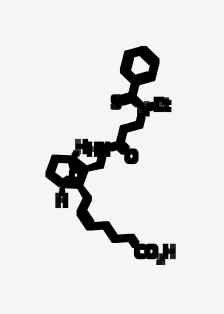 CCN(CCC(=O)NC[C@H]1[C@@H](C/C=C\CCCC(=O)O)[C@H]2CC[C@@H]1O2)C(=S)c1ccccc1